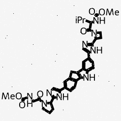 COC(=O)NCC(=O)N1CCCC1c1ncc(-c2ccc3c(c2)Cc2c-3[nH]c3ccc(-c4cnc(C5CCN5C(=O)C(NC(=O)OC)C(C)C)[nH]4)cc23)[nH]1